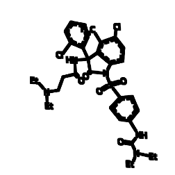 CCN(CC)CCC(=O)NC1(c2ccccc2Cl)C(=O)N(S(=O)(=O)c2ccc(NC(=O)N(CC)CC)cc2)c2ccc(Cl)c(C)c21